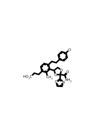 Cc1c(CCC(=O)O)ccc(CCc2ccc(Cl)cc2)c1C1COC(C(N)=O)(c2ncco2)O1